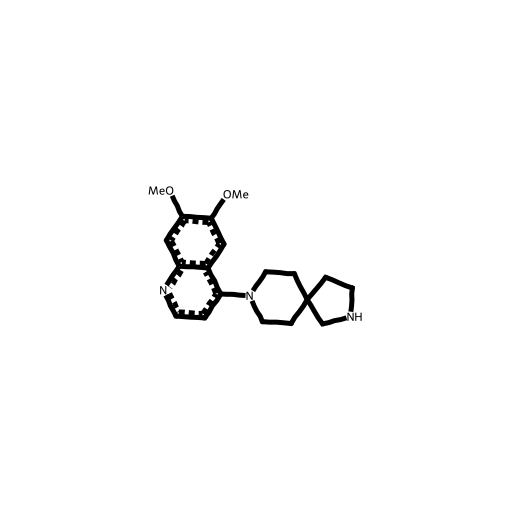 COc1cc2nccc(N3CCC4(CCNC4)CC3)c2cc1OC